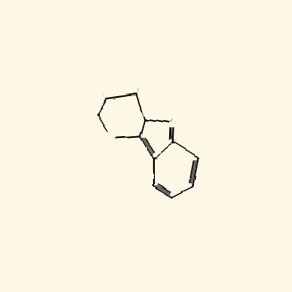 c1ccc2c(c1)=NC1CCCSC=21